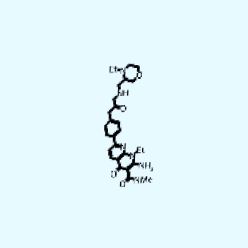 CCN1CCOCC1CNCC(=O)Cc1ccc(-c2ccc3c(=O)c(C(=O)NC)c(N)n(CC)c3n2)cc1